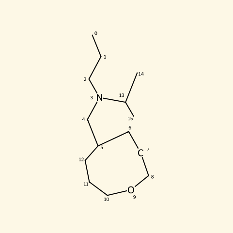 CCCN(CC1CCCOCCC1)C(C)C